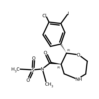 CN(C(=O)[C@@H]1CNCCO[C@H]1c1ccc(Cl)c(I)c1)S(C)(=O)=O